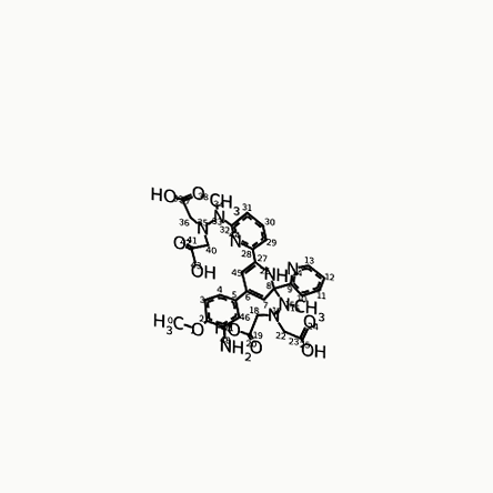 COc1ccc(C2=CC(c3ccccn3)(N(C)N(CC(=O)O)CC(=O)O)NC(c3cccc(N(C)N(CC(=O)O)CC(=O)O)n3)=C2)cc1N